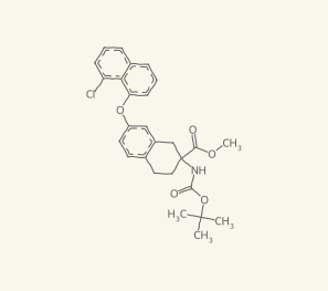 COC(=O)C1(NC(=O)OC(C)(C)C)CCc2ccc(Oc3cccc4cccc(Cl)c34)cc2C1